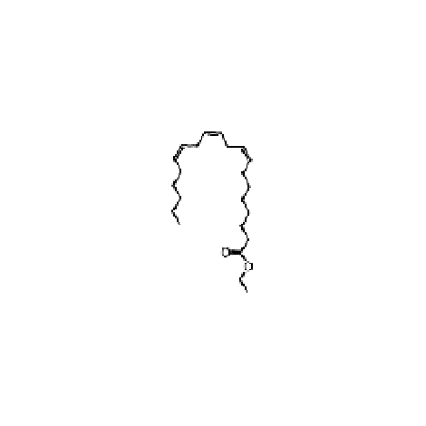 CCCCC/C=C\C/C=C\C/C=C\CCCCCCC(=O)OCC